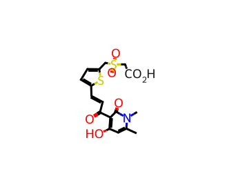 Cc1cc(O)c(C(=O)C=Cc2ccc(CS(=O)(=O)CC(=O)O)s2)c(=O)n1C